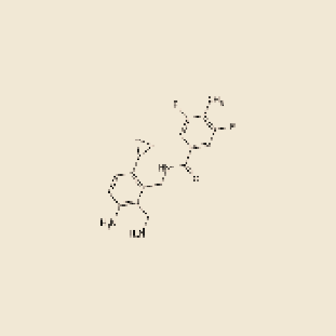 Cc1c(F)cc(C(=O)NCc2c(C3CC3)ccc(N)c2CN)cc1F